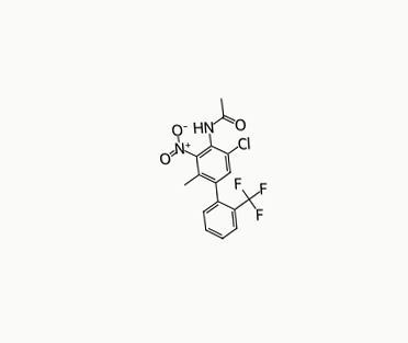 CC(=O)Nc1c(Cl)cc(-c2ccccc2C(F)(F)F)c(C)c1[N+](=O)[O-]